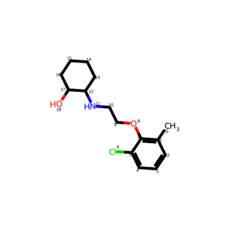 Cc1cccc(Cl)c1OCCNC1CCCCC1O